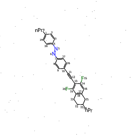 CCCc1ccc(N=Nc2ccc(C#Cc3c(F)cc4c(c3F)CCC(CCC)C4)cc2)cc1